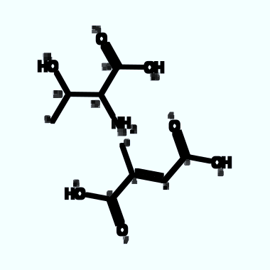 C/C(=C\C(=O)O)C(=O)O.CC(O)C(N)C(=O)O